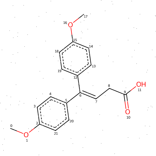 COc1ccc(C(=CCC(=O)O)c2ccc(OC)cc2)cc1